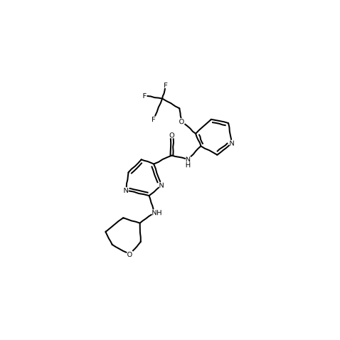 O=C(Nc1cnccc1OCC(F)(F)F)c1ccnc(NC2CCCOC2)n1